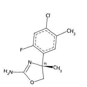 Cc1cc([C@]2(C)COC(N)=N2)c(F)cc1Cl